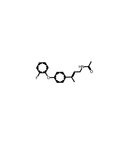 CC(=O)NCC=C(C)c1ccc(Oc2ccccc2F)cc1